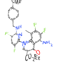 CCOC(=O)c1cn(-c2nc(NCc3ccc(OC)cc3)c(F)cc2F)c2c(C)c(F)c(F)c(N)c2c1=O